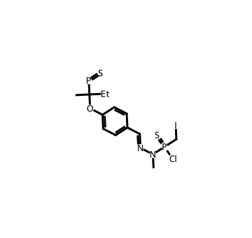 CCC(C)(Oc1ccc(/C=N/N(C)P(=S)(Cl)CI)cc1)P=S